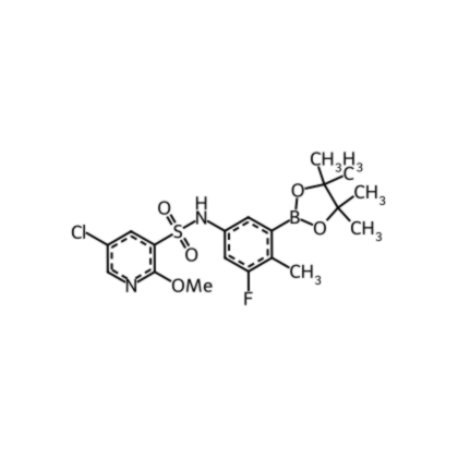 COc1ncc(Cl)cc1S(=O)(=O)Nc1cc(F)c(C)c(B2OC(C)(C)C(C)(C)O2)c1